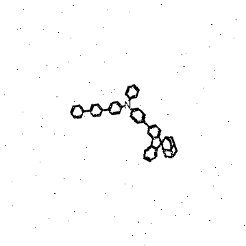 c1ccc(-c2ccc(-c3ccc(N(c4ccccc4)c4ccc(-c5ccc6c(c5)-c5ccccc5C65C6CC7CC(C6)CC5C7)cc4)cc3)cc2)cc1